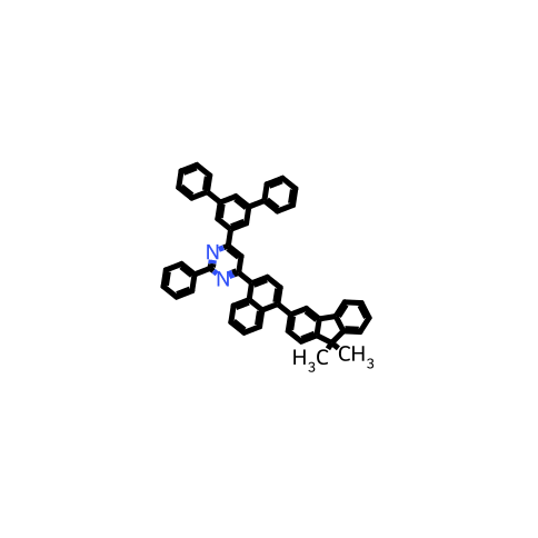 CC1(C)c2ccccc2-c2cc(-c3ccc(-c4cc(-c5cc(-c6ccccc6)cc(-c6ccccc6)c5)nc(-c5ccccc5)n4)c4ccccc34)ccc21